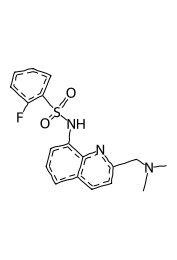 CN(C)Cc1ccc2cccc(NS(=O)(=O)c3ccccc3F)c2n1